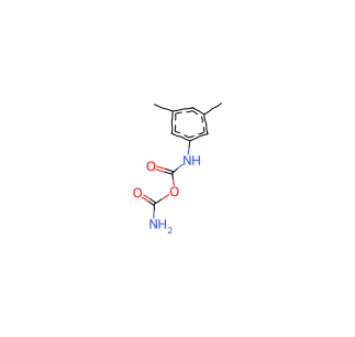 Cc1cc(C)cc(NC(=O)OC(N)=O)c1